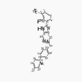 Fc1cccc(-c2nc3c([nH]2)C=NN(Cc2ccc(-c4ccccn4)cc2)C3)c1F